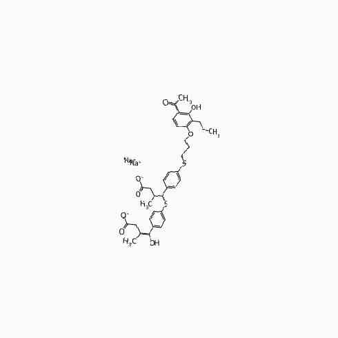 CCCc1c(OCCCSc2ccc(C(Sc3ccc(C(O)C(C)CC(=O)[O-])cc3)C(C)CC(=O)[O-])cc2)ccc(C(C)=O)c1O.[Na+].[Na+]